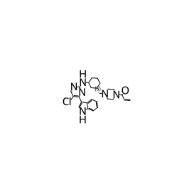 C=CC(=O)N1CCN(C[C@H]2CCCC(Nc3ncc(Cl)c(-c4c[nH]c5ccccc45)n3)C2)CC1